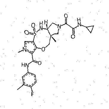 Cc1cc(NC(=O)c2c3c(cn2C)S(=O)(=O)N[C@@H]2CN(C(=O)C(=O)NC4CC4)C[C@]2(C)CO3)ccc1F